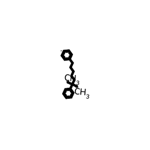 CCC(CC)(CCCCCc1cc[c]cc1)c1ccccc1